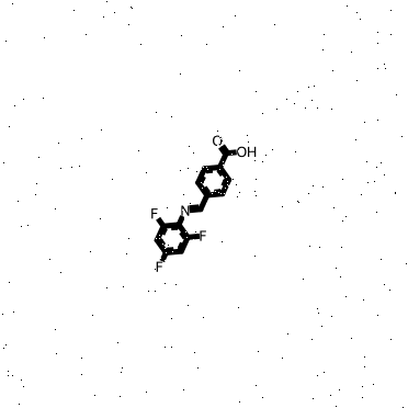 O=C(O)c1ccc(C=Nc2c(F)cc(F)cc2F)cc1